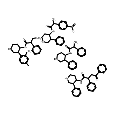 CC(C(=O)NC1CCNCC1c1ccccc1)c1ccc([N+](=O)[O-])cc1.CC(C(=O)NC1CCNCC1c1ccccc1)c1ccccc1.CCC(C(=O)NC1CCNCC1c1ccc(F)cc1C)c1ccccc1.O=C(CC(C(=O)NC1CCNCC1c1ccccc1)c1ccccc1)c1ccccc1